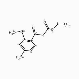 CCOC(=O)CC(=O)c1ccc(C)cc1OC